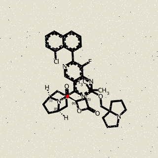 CC(C)[C@@H]1C(=O)O[C@H]1C(=O)N1[C@@H]2CC[C@H]1CN(c1nc(OCC34CCCN3CCC4)nc3c(F)c(-c4cccc5cccc(Cl)c45)ncc13)C2